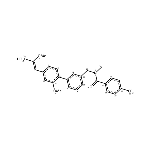 CO/C(=C\c1ccc(-c2cccc(CN(C)C(=O)c3ccc(C(F)(F)F)cc3)c2)c(OC)c1)C(=O)O